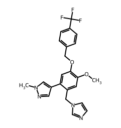 COc1cc(Cn2ccnc2)c(-c2cnn(C)c2)cc1OCc1ccc(C(F)(F)F)cc1